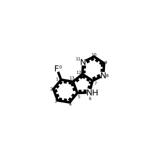 Fc1cccc2[nH]c3nccnc3c12